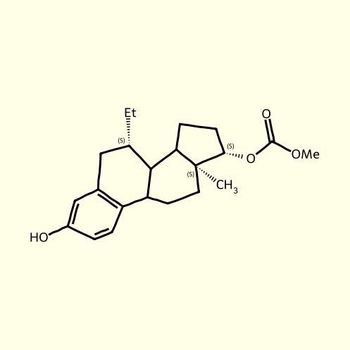 CC[C@H]1Cc2cc(O)ccc2C2CC[C@@]3(C)C(CC[C@@H]3OC(=O)OC)C21